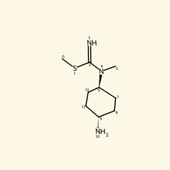 CSC(=N)N(C)[C@H]1CC[C@H](N)CC1